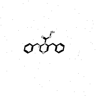 CC(C)(C)OC(=O)N1C(Cc2ccccc2)=COC[C@H]1Cc1ccccc1